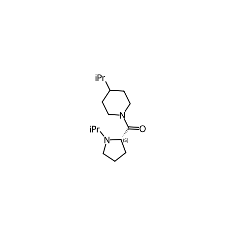 CC(C)C1CCN(C(=O)[C@@H]2CCCN2C(C)C)CC1